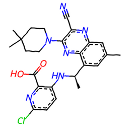 Cc1cc([C@@H](C)Nc2ccc(Cl)nc2C(=O)O)c2nc(N3CCC(C)(C)CC3)c(C#N)nc2c1